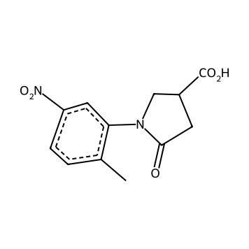 Cc1ccc([N+](=O)[O-])cc1N1CC(C(=O)O)CC1=O